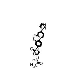 CC(=O)NC[C@H]1CN(c2ccc(N3CCC(n4ccnn4)CC3F)c(F)c2)C(=O)O1